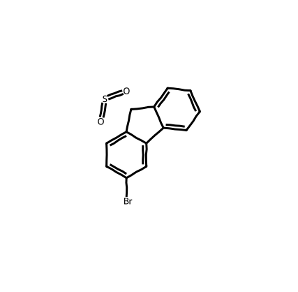 Brc1ccc2c(c1)-c1ccccc1C2.O=S=O